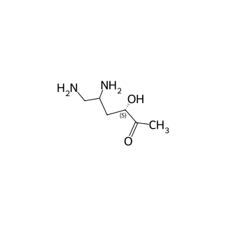 CC(=O)[C@@H](O)CC(N)CN